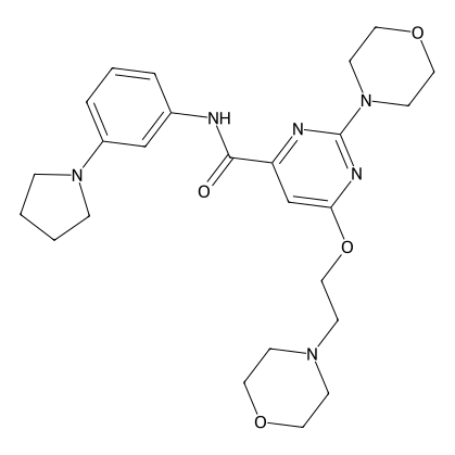 O=C(Nc1cccc(N2CCCC2)c1)c1cc(OCCN2CCOCC2)nc(N2CCOCC2)n1